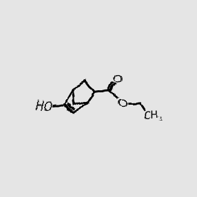 CCOC(=O)C1CC2CC1C=C2O